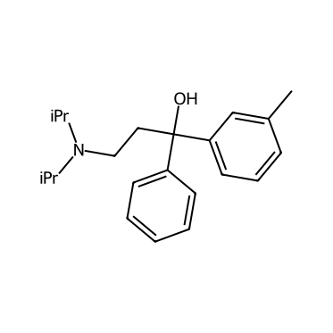 Cc1cccc(C(O)(CCN(C(C)C)C(C)C)c2ccccc2)c1